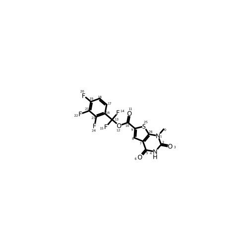 Cn1c(=O)[nH]c(=O)c2cc(C(=O)OC(F)(F)c3ccc(F)c(F)c3F)sc21